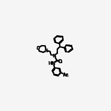 CC(=O)c1cccc(NC(=O)N(CCC(c2ccccc2)c2ccccc2)CCN2CCOCC2)c1